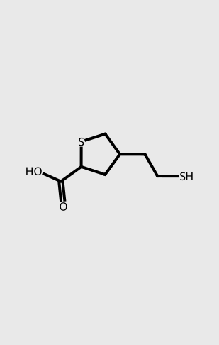 O=C(O)C1CC(CCS)CS1